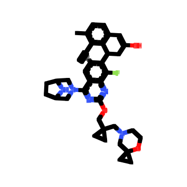 C#Cc1c(C)ccc2c1C(c1c(C#N)cc3c(N4CC5CCC(C4)N5)nc(OCC4(CN5CCOC6(CC6)C5)CC4)nc3c1F)CC(O)=C2